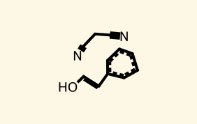 N#CCC#N.OC=Cc1ccccc1